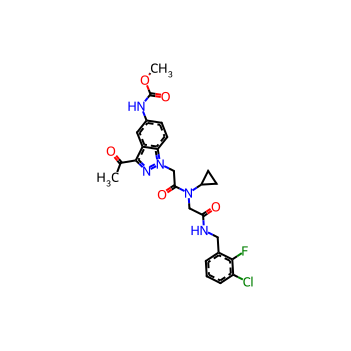 COC(=O)Nc1ccc2c(c1)c(C(C)=O)nn2CC(=O)N(CC(=O)NCc1cccc(Cl)c1F)C1CC1